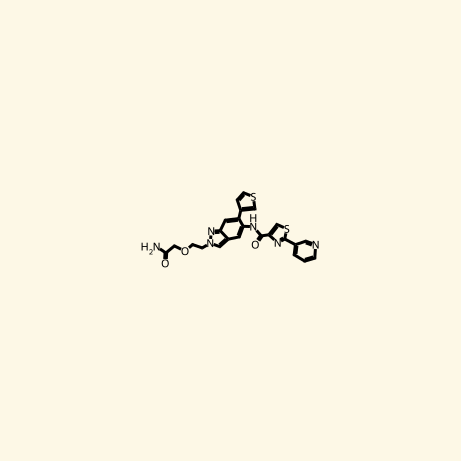 NC(=O)COCCn1cc2cc(NC(=O)c3csc(-c4cccnc4)n3)c(-c3ccsc3)cc2n1